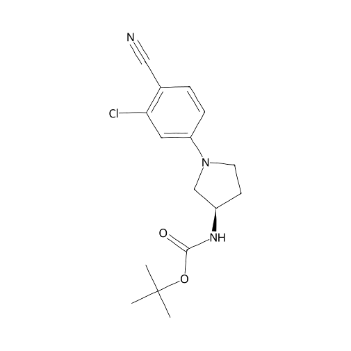 CC(C)(C)OC(=O)N[C@@H]1CCN(c2ccc(C#N)c(Cl)c2)C1